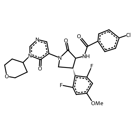 COc1cc(F)c([C@@H]2CN(c3cncn(C4CCOCC4)c3=O)C(=O)C2NC(=O)c2ccc(Cl)cc2)c(F)c1